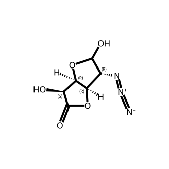 [N-]=[N+]=N[C@H]1C(O)O[C@H]2[C@@H]1OC(=O)[C@H]2O